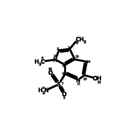 Cc1cn(C)c2c(S(N)(=O)=O)nc(O)cc12